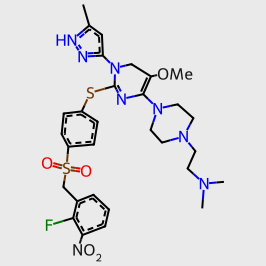 COC1=C(N2CCN(CCN(C)C)CC2)N=C(Sc2ccc(S(=O)(=O)Cc3cccc([N+](=O)[O-])c3F)cc2)N(c2cc(C)[nH]n2)C1